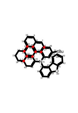 CC1C=C(c2cccc3cccc(C4CCCCC4)c23)C(N(c2cc(C(C)(C)C)ccc2-c2ccccc2)c2cccc3oc4ccccc4c23)=CC1